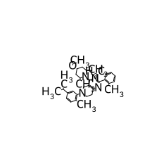 CO[C@H]1C[C@@H](C)N(c2nc(-c3c(C)cccc3C)nc3c2CN(c2cc(C(C)C)ccc2C)CC3)[C@@H](C)C1